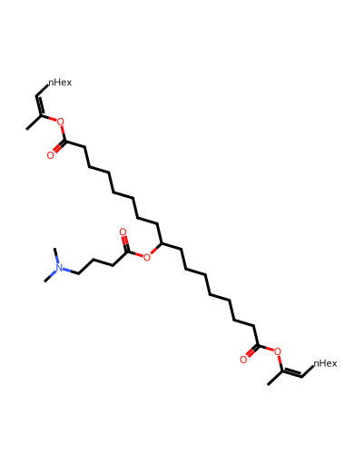 CCCCCC/C=C(/C)OC(=O)CCCCCCCC(CCCCCCCC(=O)O/C(C)=C\CCCCCC)OC(=O)CCCN(C)C